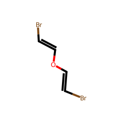 BrC=COC=CBr